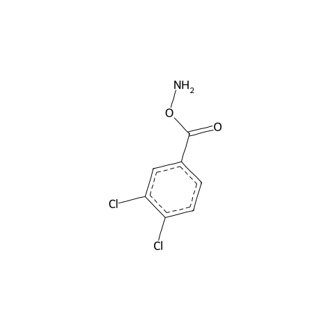 NOC(=O)c1ccc(Cl)c(Cl)c1